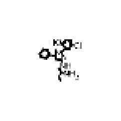 CC[C@@H](N)CNc1cc(-c2ccccc2)nc(-c2cc(Cl)ccc2O)n1